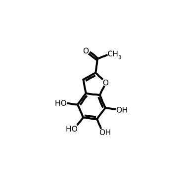 CC(=O)c1cc2c(O)c(O)c(O)c(O)c2o1